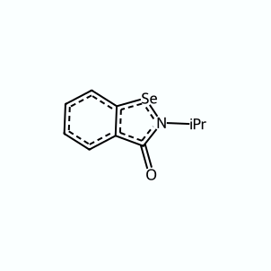 CC(C)n1[se]c2ccccc2c1=O